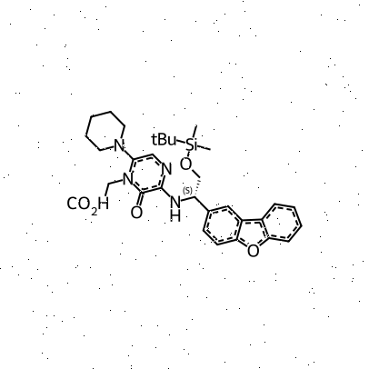 CC(C)(C)[Si](C)(C)OC[C@@H](Nc1ncc(N2CCCCC2)n(CC(=O)O)c1=O)c1ccc2oc3ccccc3c2c1